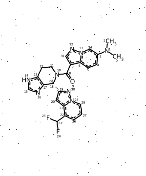 CN(C)c1ccc2c(C(=O)N3CCc4[nH]cnc4[C@H]3c3cc4c(C(F)F)cccn4n3)cnn2c1